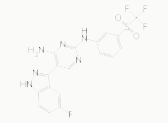 Nc1nc(Nc2cccc(S(=O)(=O)C(F)(F)F)c2)ncc1-c1n[nH]c2ccc(F)cc12